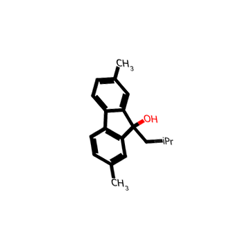 Cc1ccc2c(c1)C(O)(CC(C)C)c1cc(C)ccc1-2